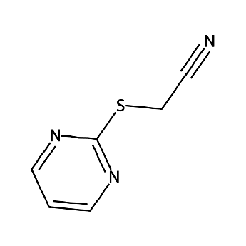 N#CCSc1ncccn1